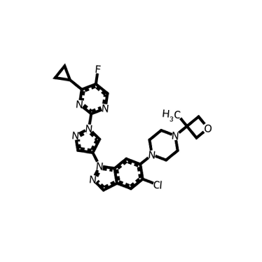 CC1(N2CCN(c3cc4c(cnn4-c4cnn(-c5ncc(F)c(C6CC6)n5)c4)cc3Cl)CC2)COC1